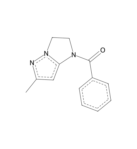 Cc1cc2n(n1)CCN2C(=O)c1ccccc1